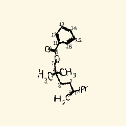 C=C(CCC(C)(C)COC(=O)c1ccccc1)C(C)C